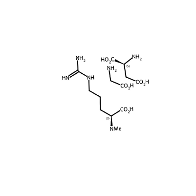 CN[C@@H](CCCNC(=N)N)C(=O)O.NCC(=O)O.N[C@@H](CC(=O)O)C(=O)O